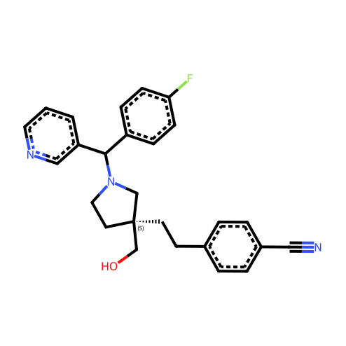 N#Cc1ccc(CC[C@]2(CO)CCN(C(c3ccc(F)cc3)c3cccnc3)C2)cc1